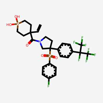 C=CC1(C(=O)N2CCC(c3ccc(C(F)(C(F)(F)F)C(F)(F)F)cc3)(S(=O)(=O)c3ccc(F)cc3)C2)CCS(O)(O)CC1